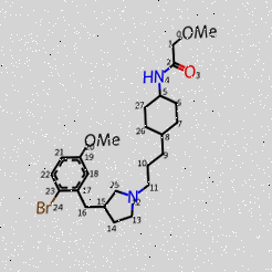 COCC(=O)NC1CCC(CCCN2CCC(Cc3cc(OC)ccc3Br)C2)CC1